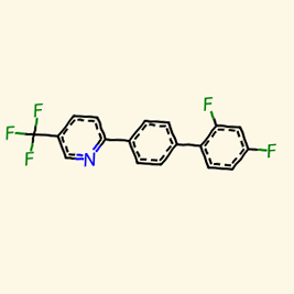 Fc1ccc(-c2ccc(-c3ccc(C(F)(F)F)cn3)cc2)c(F)c1